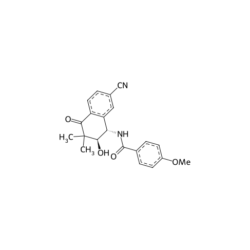 COc1ccc(C(=O)N[C@H]2c3cc(C#N)ccc3C(=O)C(C)(C)[C@@H]2O)cc1